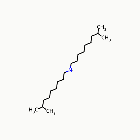 CC(C)CCCCCCC[N]CCCCCCCC(C)C